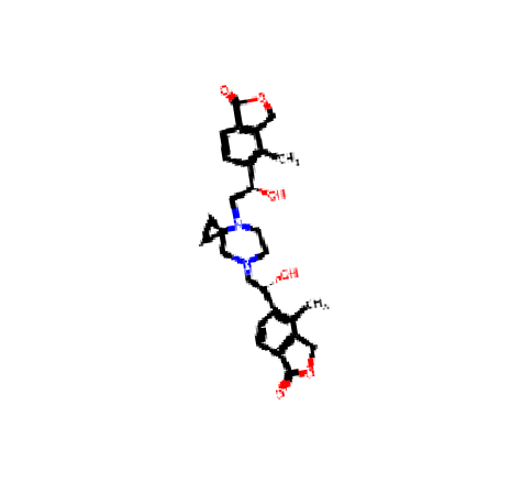 Cc1c([C@@H](O)CN2CCN(C[C@H](O)c3ccc4c(c3C)COC4=O)C3(CC3)C2)ccc2c1COC2=O